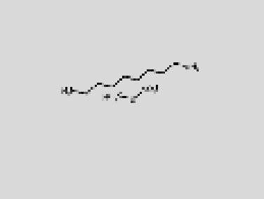 NCCCCCCCCN.O=S(=O)(O)OS(=O)(=O)O